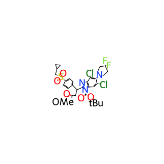 COC(=O)CC(c1ccc(S(=O)(=O)CC2CC2)cc1)c1nc2c(Cl)c(N3CCC(F)(F)CC3)c(Cl)cc2n1C(=O)OC(C)(C)C